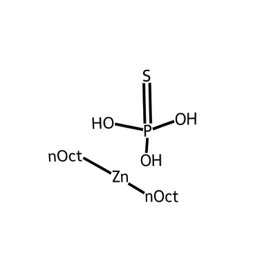 CCCCCCC[CH2][Zn][CH2]CCCCCCC.OP(O)(O)=S